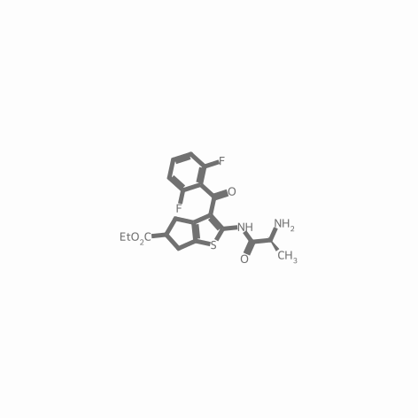 CCOC(=O)C1Cc2sc(NC(=O)[C@H](C)N)c(C(=O)c3c(F)cccc3F)c2C1